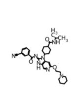 CC(C)NC(=O)C1CCC(n2/c(=N/C(=O)c3cccc(C#N)c3)[nH]c3cnc(OCCN4CCCCC4)cc32)CC1